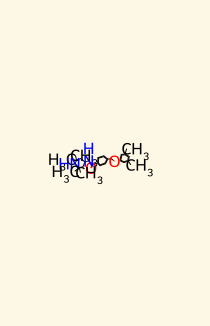 Cc1cc(C)cc(OCc2ccc(C(=O)NC3CC(C)(C)NC(C)(C)C3)cc2)c1